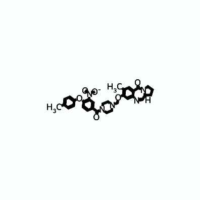 Cc1ccc(Oc2ccc(C(=O)N3CCN(COc4cc5c(cc4C)C(=O)N4CCC[C@H]4C=N5)CC3)cc2[N+](=O)[O-])cc1